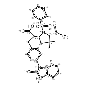 CC1(C)S[C@@H](C(Cc2ccc(-n3c(=O)[nH]c4cccnc43)cc2)C(=O)O)N(S(=O)(=O)c2cccnc2)[C@@H]1C(N)=O